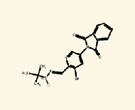 CC(C)(C)[S@+]([O-])N=Cc1ncc(N2C(=O)c3ccccc3C2=O)cc1Br